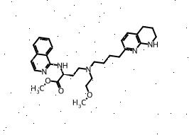 COCCN(CCCCc1ccc2c(n1)NCCC2)CC[C@H](Nc1nccc2ccccc12)C(=O)OC